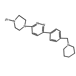 CC(C)N1CCN(c2ccc(-c3ccc(CN4CCCCC4)cc3)nn2)CC1